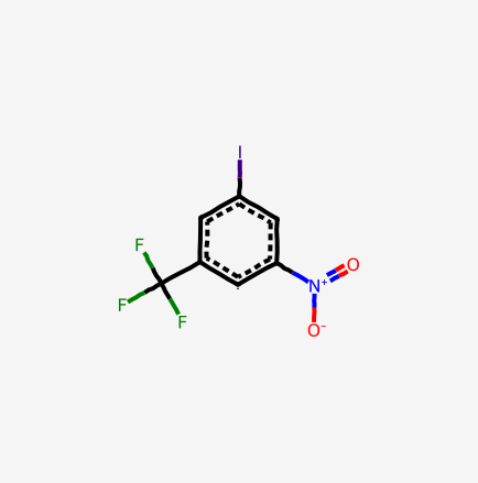 O=[N+]([O-])c1[c]c(C(F)(F)F)cc(I)c1